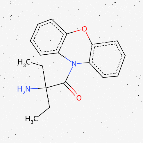 CCC(N)(CC)C(=O)N1c2ccccc2Oc2ccccc21